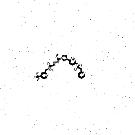 CS/C(=N\N=C\C(=O)NCc1cc(C(F)(F)F)ccn1)N1CCC(c2ccc(NC(=O)Cc3ccccn3)nn2)C1